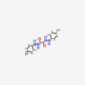 O=C(NNc1ccc(F)cc1)C(=O)NNc1ccc(F)cc1